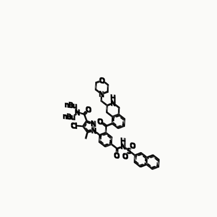 CCCCN(CCCC)C(=O)c1nn(-c2ccc(C(=O)NS(=O)(=O)c3ccc4ccccc4c3)cc2C(=O)c2cccc3c2CC(CN2CCOCC2)NC3)c(C)c1Cl